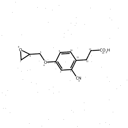 N#Cc1cc(OCC2CO2)ccc1CCC(=O)O